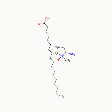 CCC(N)[N+](C)(C)[O-].CCCCCCCCC=CCCCCCCCC(=O)O